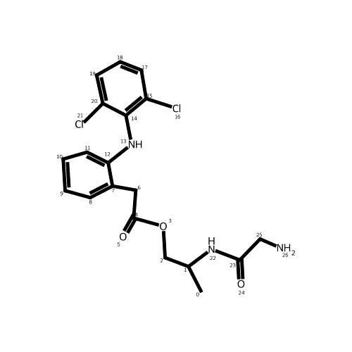 CC(COC(=O)Cc1ccccc1Nc1c(Cl)cccc1Cl)NC(=O)CN